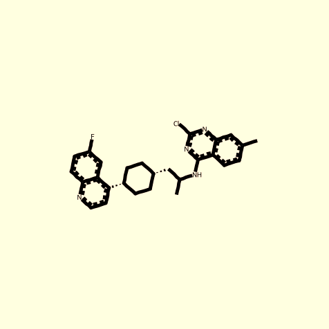 Cc1ccc2c(NC(C)C[C@H]3CC[C@@H](c4ccnc5ccc(F)cc54)CC3)nc(Cl)nc2c1